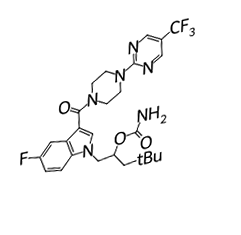 CC(C)(C)CC(Cn1cc(C(=O)N2CCN(c3ncc(C(F)(F)F)cn3)CC2)c2cc(F)ccc21)OC(N)=O